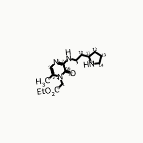 CCOC(=O)Cn1c(C)cnc(NCCC2CCCN2)c1=O